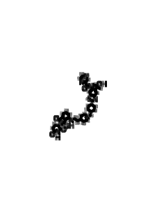 CC(C)(O)c1cc2nc([C@H]3CC[C@H](CN4CCC(CCNc5cccc6c5C(=O)N(C5CCC(=O)NC5=O)C6=O)CC4)CC3)sc2cc1NC(=O)c1cnccn1